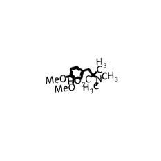 COc1ccc(CC(C)(C(=O)O)N(C)C)cc1OC